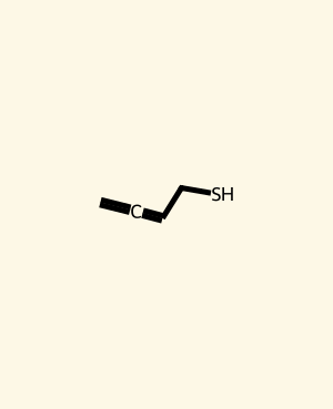 C=C=CCS